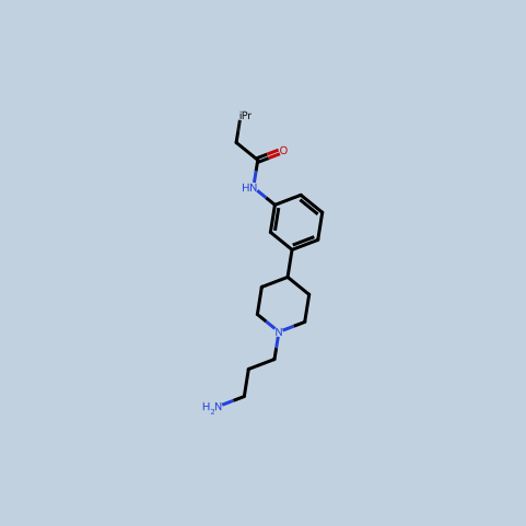 CC(C)CC(=O)Nc1cccc(C2CCN(CCCN)CC2)c1